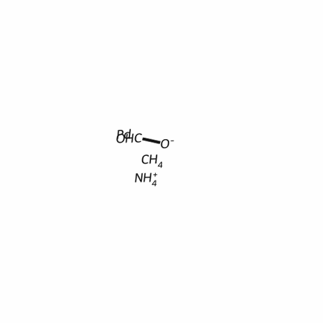 C.O=C[O-].[NH4+].[Pd]